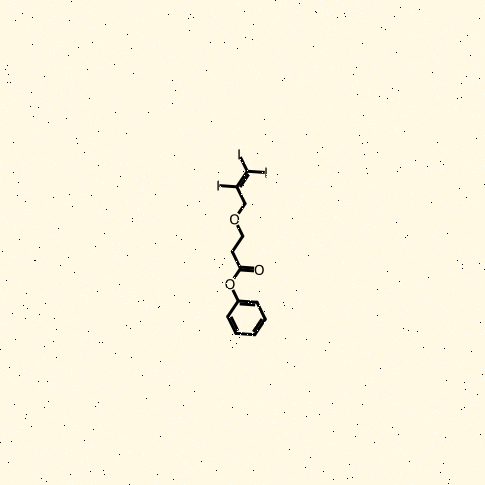 O=C(CCOCC(I)=C(I)I)Oc1ccccc1